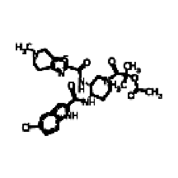 CC(=O)OC(C)(C)C(=O)N1CC[C@H](NC(=O)c2cc3cc(Cl)ccc3[nH]2)[C@H](NC(=O)c2nc3c(s2)CN(C)CC3)C1